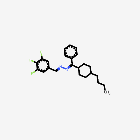 CCCCC1CCC(C(=NN=Cc2cc(F)c(F)c(F)c2)c2ccccc2)CC1